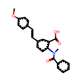 COc1ccc(C=Cc2ccc(N(C)C(=O)c3ccccc3)c(C(=O)O)c2)cc1